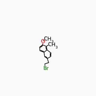 COc1ccc2cc(CCBr)ccc2c1C